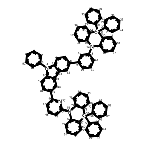 c1ccc(-n2c3ccc(-c4cccc(N5c6ccccc6[Si](c6ccccc6)(c6ccccc6)c6ccccc65)c4)cc3c3cc(-c4cccc(N5c6ccccc6[Si](c6ccccc6)(c6ccccc6)c6ccccc65)n4)ccc32)cc1